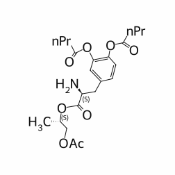 CCCC(=O)Oc1ccc(C[C@H](N)C(=O)O[C@@H](C)COC(C)=O)cc1OC(=O)CCC